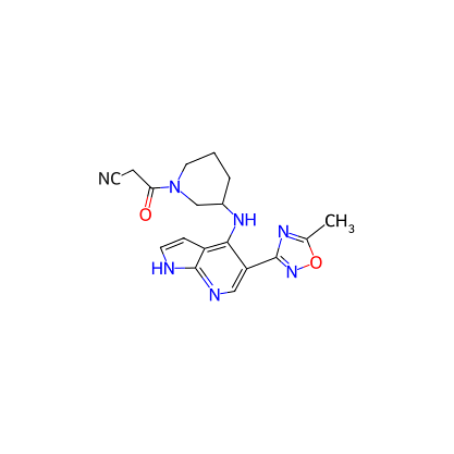 Cc1nc(-c2cnc3[nH]ccc3c2NC2CCCN(C(=O)CC#N)C2)no1